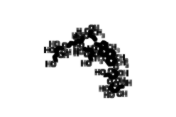 CC(C)(O)C1CC[C@H]([C@H]2CC[C@@]3(C)C4CC=C5C(CC[C@H](OC6OC(CO)C(OC7OC(CO)C(O)C(O)C7O)C(O)C6O)C5(C)C)[C@]4(C)CC[C@]23C)O/C(C(O)CCO)=C(/O)C(O)O/C(=C(/O)C(O)CCOC(O)/C(O)=C(/O)C(O)CCO)C(O)O1